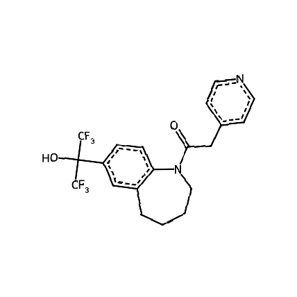 O=C(Cc1ccncc1)N1CCCCc2cc(C(O)(C(F)(F)F)C(F)(F)F)ccc21